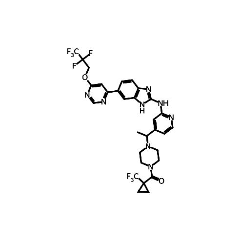 CC(c1ccnc(Nc2nc3ccc(-c4cc(OCC(F)(F)C(F)(F)F)ncn4)cc3[nH]2)c1)N1CCN(C(=O)C2(C(F)(F)F)CC2)CC1